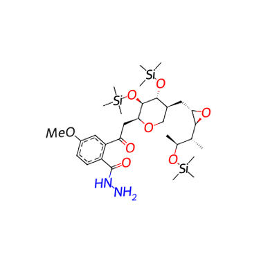 COc1ccc(C(=O)NN)c(C(=O)C[C@@H]2OC[C@H](C[C@@H]3O[C@H]3[C@H](C)[C@H](C)O[Si](C)(C)C)[C@@H](O[Si](C)(C)C)[C@@H]2O[Si](C)(C)C)c1